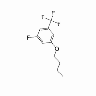 CCCCOc1cc(F)cc(C(F)(F)F)c1